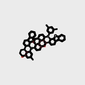 Cc1cc(C)cc(N(c2ccc3ccc4c(N(c5cc(C)cc(C)c5)c5c(C6CCCCC6)ccc6c5oc5ccccc56)ccc5ccc2c3c54)c2c(C3CCCCC3)ccc3c2oc2ccccc23)c1